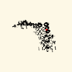 O=C(O)c1ccccc1.O=C(O)c1ccccc1.O=C(O)c1ccccc1.O=C(O)c1ccccc1.OC[C@@H](O)[C@@H](O)CO.OC[C@@H](O)[C@@H](O)CO.OC[C@@H](O)[C@@H](O)CO.OC[C@@H](O)[C@@H](O)CO.OC[C@@H](O)[C@@H](O)CO